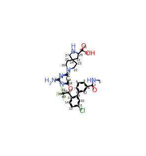 CNC(=O)c1cccc(-c2cc(Cl)ccc2[C@@H](Oc2cc(N3CCC4(CC3)CNC(C(=O)O)C4)nc(N)n2)C(F)(F)F)c1